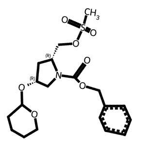 CS(=O)(=O)OC[C@H]1C[C@@H](OC2CCCCO2)CN1C(=O)OCc1ccccc1